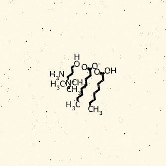 CCCCCCCC(=O)O.CCCCCCCC(=O)[O-].C[N+](C)(C)CCCO.N